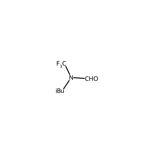 CCC(C)N(C=O)C(F)(F)F